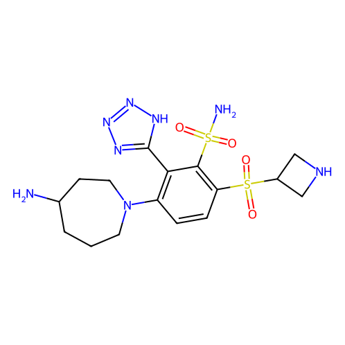 NC1CCCN(c2ccc(S(=O)(=O)C3CNC3)c(S(N)(=O)=O)c2-c2nnn[nH]2)CC1